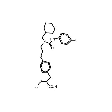 CCOC(Cc1ccc(OCCN(CC2CCCCC2)C(=O)Nc2ccc(F)cc2)cc1)C(=O)O